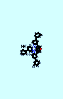 Cc1cccc(-c2ccc3c(c2)c2ccccc2n3-c2cc(C#N)c(-c3ccccc3C(F)(F)F)cc2-n2c3ccccc3c3cc(-c4cccc(C)c4)ccc32)c1